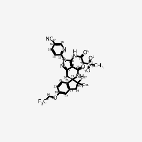 CS(=O)(=O)CC(=O)Nc1c2c(nn1-c1ccc(C#N)cn1)C[C@]1(NC2=O)c2ccc(OCC(F)(F)F)cc2CC1(F)F